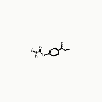 CCC(=O)c1ccc(OC(=O)NF)cc1